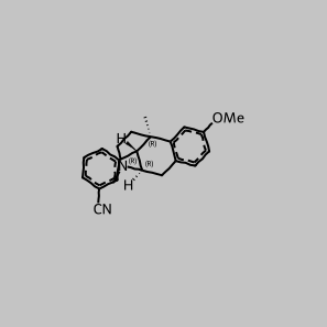 COc1ccc2c(c1)[C@]1(C)CCN(C)[C@H](C2)[C@@H]1c1cccc(C#N)c1